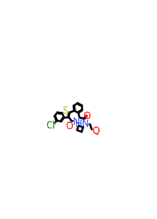 COCCNC(=O)C1c2ccccc2-c2sc3ccc(Cl)cc3c2C(=O)N1C1CCC1